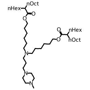 CCCCCCCCC(CCCCCC)C(=O)OCCCCCCN(CCCCCCOC(=O)C(CCCCCC)CCCCCCCC)CCCN1CCN(C)CC1